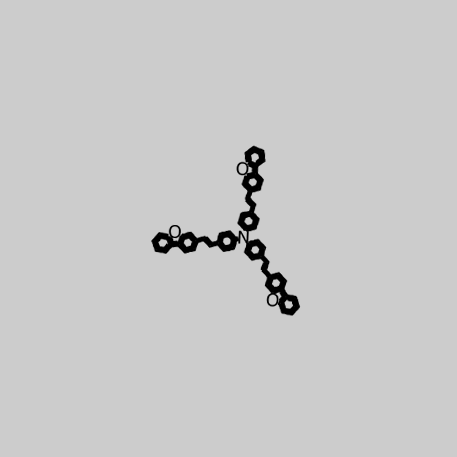 C(=C\c1ccc2c(c1)oc1ccccc12)/c1ccc(N(c2ccc(/C=C/c3ccc4c(c3)oc3ccccc34)cc2)c2ccc(/C=C/c3ccc4c(c3)oc3ccccc34)cc2)cc1